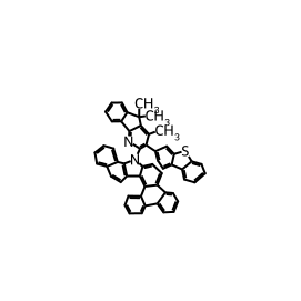 Cc1c(-c2ccc3c(c2)sc2ccccc23)c(-n2c3ccc4c5ccccc5c5ccccc5c4c3c3ccc4ccccc4c32)nc2c1C(C)(C)c1ccccc1-2